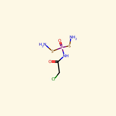 NSP(=O)(NC(=O)CCl)SN